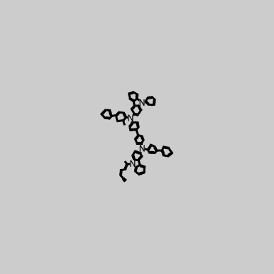 C#C/C=C\C=C(/C)n1c2ccccc2c2cc(N(c3ccc(-c4ccccc4)cc3)c3ccc(-c4ccc(N(C5=CC=C(c6ccccc6)CC5C)c5ccc6c(c5)c5ccccc5n6-c5ccccc5)cc4)cc3)ccc21